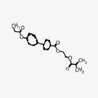 C=C(C)C(=O)OCCOC(=O)c1ccc(-c2ccc(OC(=O)CC)cc2)cc1